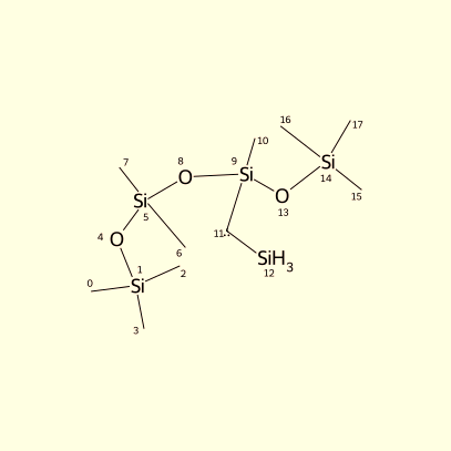 C[Si](C)(C)O[Si](C)(C)O[Si](C)([C][SiH3])O[Si](C)(C)C